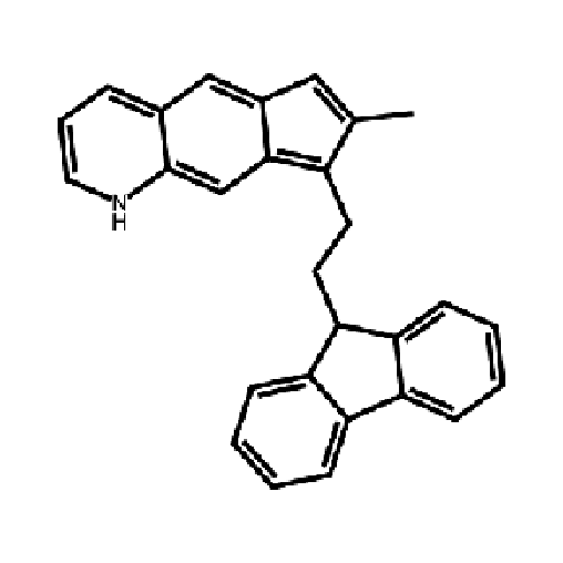 Cc1cc2cc3ccc[nH]c3cc2c1CCC1c2ccccc2-c2ccccc21